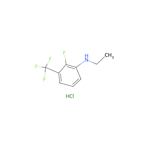 CCNc1cccc(C(F)(F)F)c1F.Cl